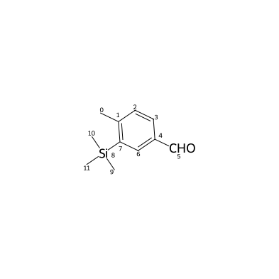 Cc1ccc(C=O)cc1[Si](C)(C)C